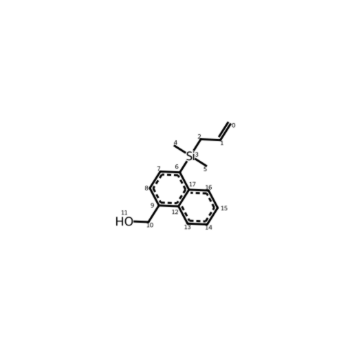 C=CC[Si](C)(C)c1ccc(CO)c2ccccc12